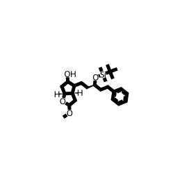 COC1C[C@@H]2C(CC[C@H](CCc3ccccc3)O[Si](C)(C)C(C)(C)C)C(O)C[C@@H]2O1